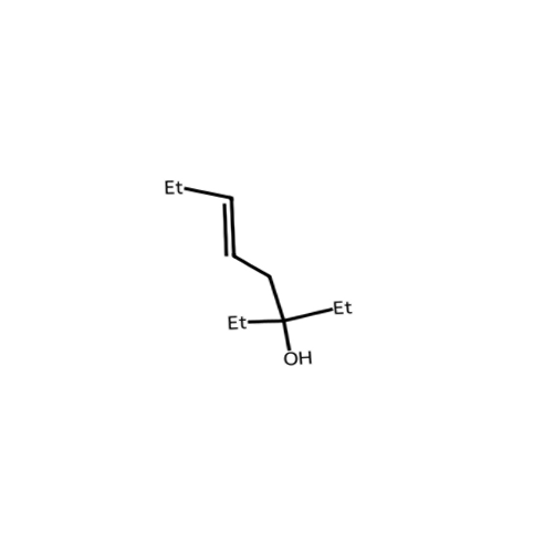 [CH2]C/C=C/CC(O)(CC)CC